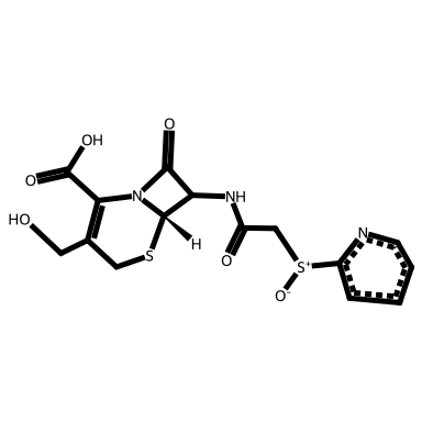 O=C(C[S+]([O-])c1ccccn1)NC1C(=O)N2C(C(=O)O)=C(CO)CS[C@@H]12